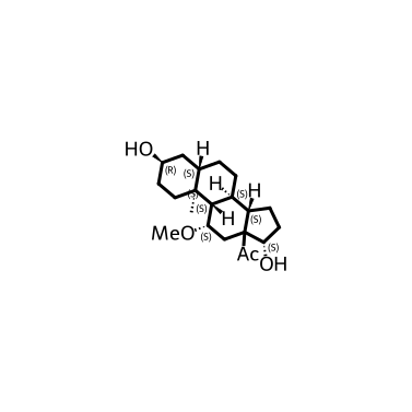 CO[C@H]1CC2(C(C)=O)[C@@H](O)CC[C@H]2[C@@H]2CC[C@H]3C[C@H](O)CC[C@]3(C)[C@H]21